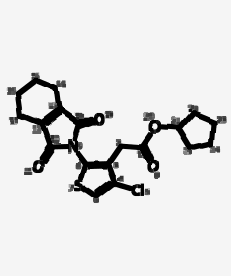 O=C(Cc1c(Cl)csc1N1C(=O)C2=C(CCCC2)C1=O)OC1CCCC1